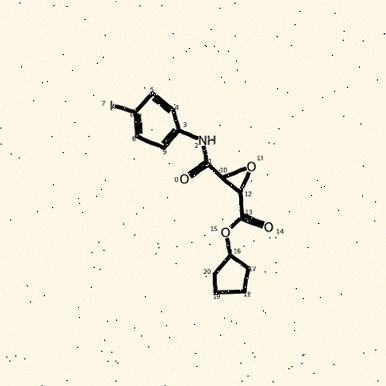 O=C(Nc1ccc(I)cc1)C1OC1C(=O)OC1CCCC1